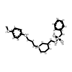 COc1ccc(OCCCN2CCCC(COS(=O)(=O)Cc3ccccc3)C2)cc1